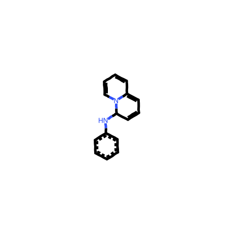 C1=CC2=CC=CC(Nc3ccccc3)N2C=C1